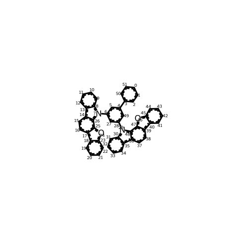 c1ccc(-c2cc(-n3c4ccccc4c4ccc5c6ccccc6oc5c43)cc(-n3c4ccccc4c4ccc5c6ccccc6oc5c43)c2)cc1